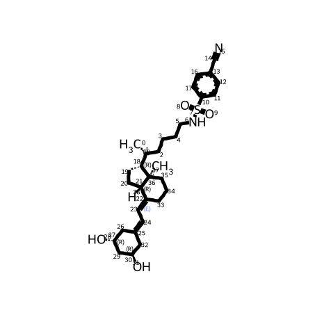 C[C@H](CCCCNS(=O)(=O)c1ccc(C#N)cc1)[C@H]1CC[C@H]2/C(=C/C=C3C[C@@H](O)C[C@H](O)C3)CCC[C@]12C